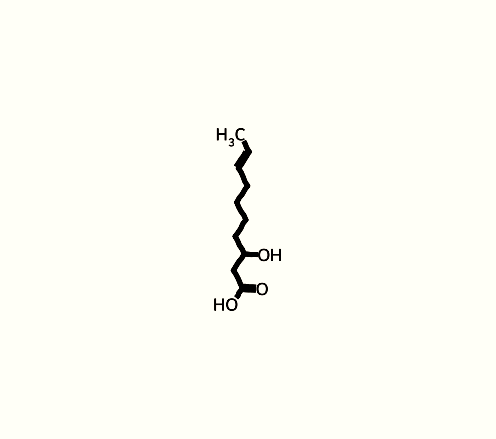 CC=CCCCCC(O)CC(=O)O